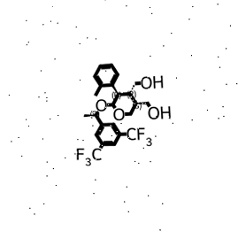 Cc1ccccc1[C@@H]1C(O[C@H](C)c2cc(C(F)(F)F)cc(C(F)(F)F)c2)OC[C@H](CO)[C@H]1CO